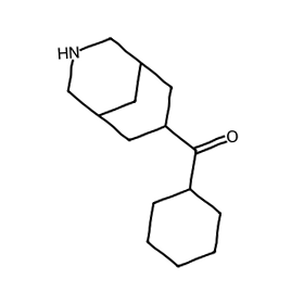 O=C(C1CCCCC1)C1CC2CNCC(C2)C1